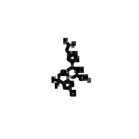 C[C@H]1C[C@@]2(C[C@@H](c3cn(CC(F)F)nn3)N1)OCC(F)(F)c1cc(Cl)sc12